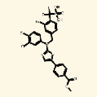 COC(=O)c1ccc(-c2cnc(N(Cc3ccc(C(F)(F)P(=O)(O)O)c(Br)c3)c3ccc(Cl)c(Cl)c3)o2)cc1